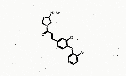 CC(=O)NC1CCN(C(=O)C=Cc2ccc(Sc3ccccc3Br)c(Cl)c2)C1